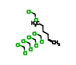 C=CCCCC.ClCCl.ClCCl.ClCCl.ClCCl.ClCCl